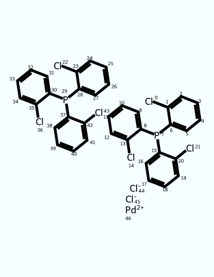 Clc1ccccc1P(c1ccccc1Cl)c1ccccc1Cl.Clc1ccccc1P(c1ccccc1Cl)c1ccccc1Cl.[Cl-].[Cl-].[Pd+2]